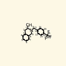 CC1Cc2ccccc2CN1Cc1ccc(C(F)(F)F)cc1